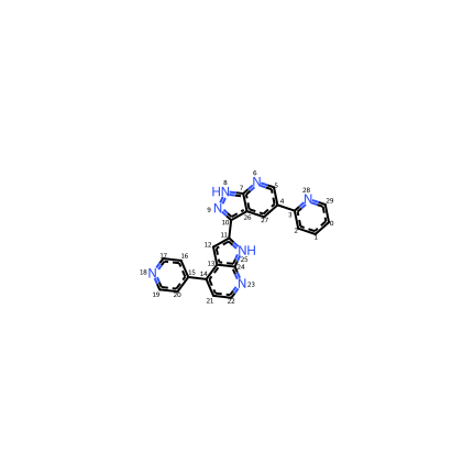 c1ccc(-c2cnc3[nH]nc(-c4cc5c(-c6ccncc6)ccnc5[nH]4)c3c2)nc1